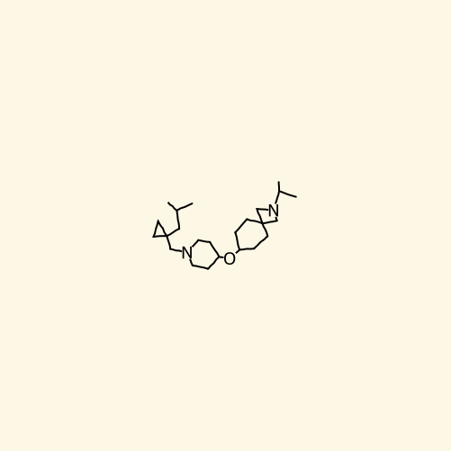 CC(C)CC1(CN2CCC(OC3CCC4(CC3)CN(C(C)C)C4)CC2)CC1